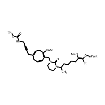 CCCCCO/C(CC)=C(/CCCCC(C)N1CCCN(CC2=C(\OC)C/C=C(/CC#CCNC(=O)OC(C)(C)C)C/C=C\2)C1=O)OC